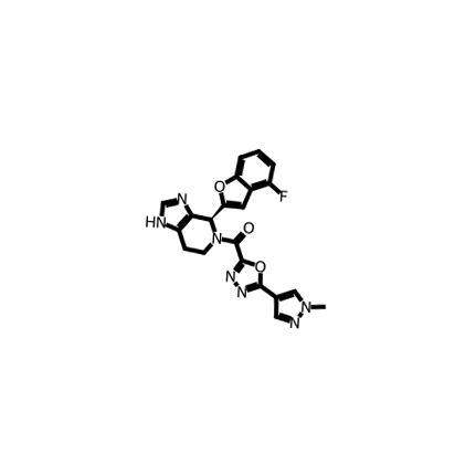 Cn1cc(-c2nnc(C(=O)N3CCc4[nH]cnc4[C@H]3c3cc4c(F)cccc4o3)o2)cn1